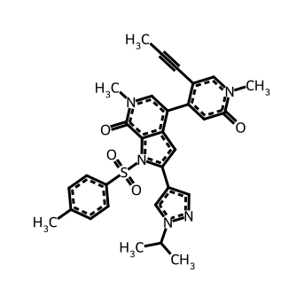 CC#Cc1cn(C)c(=O)cc1-c1cn(C)c(=O)c2c1cc(-c1cnn(C(C)C)c1)n2S(=O)(=O)c1ccc(C)cc1